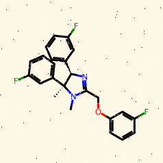 CN1C(COc2cccc(F)c2)=N[C@H](c2cccc(F)c2)[C@]1(C)c1cccc(F)c1